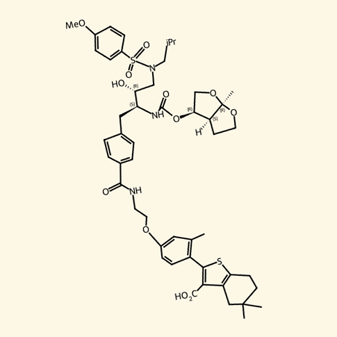 COc1ccc(S(=O)(=O)N(CC(C)C)C[C@@H](O)[C@H](Cc2ccc(C(=O)NCCOc3ccc(-c4sc5c(c4C(=O)O)CC(C)(C)CC5)c(C)c3)cc2)NC(=O)O[C@H]2CO[C@@]3(C)OCC[C@@H]23)cc1